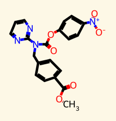 COC(=O)c1ccc(CN(C(=O)Oc2ccc([N+](=O)[O-])cc2)c2ncccn2)cc1